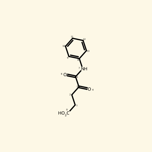 O=C(O)CCC(=O)C(=O)Nc1ccccc1